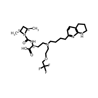 C[C@@H]1C[C@@H](C)N1C(=O)N[C@@H](CCN(CCCCc1ccc2c(n1)NCCC2)CCOCC(F)(F)F)C(=O)O